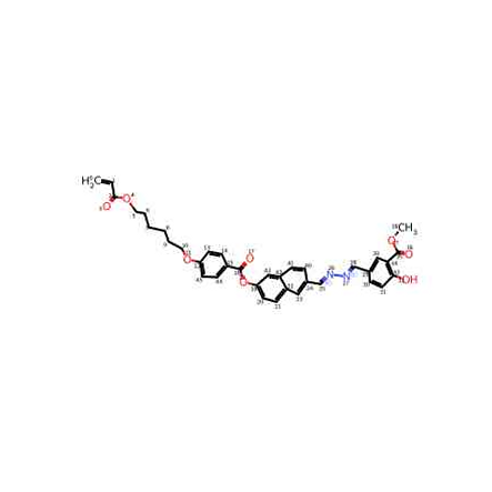 C=CC(=O)OCCCCCCOc1ccc(C(=O)Oc2ccc3cc(/C=N/N=C/c4ccc(O)c(C(=O)OC)c4)ccc3c2)cc1